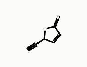 C#CC1C=CC(=O)O1